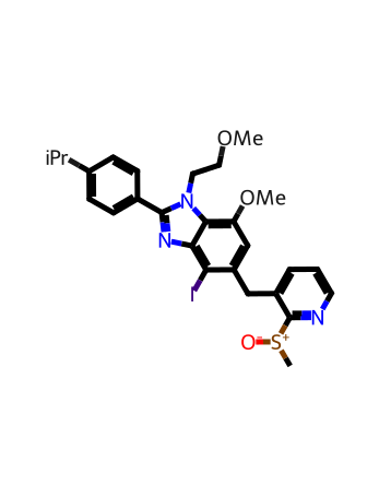 COCCn1c(-c2ccc(C(C)C)cc2)nc2c(I)c(Cc3cccnc3[S+](C)[O-])cc(OC)c21